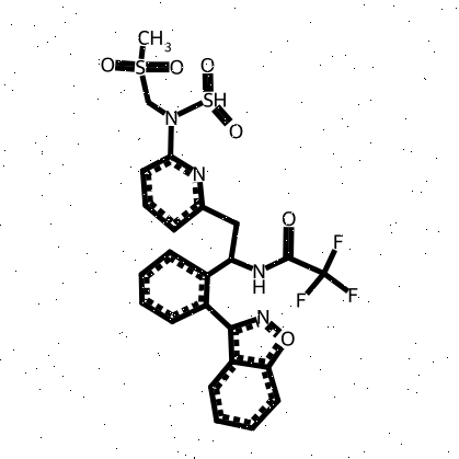 CS(=O)(=O)CN(c1cccc(CC(NC(=O)C(F)(F)F)c2ccccc2-c2noc3ccccc23)n1)[SH](=O)=O